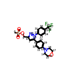 CS(=O)(=O)OCc1cc(-c2ccc(N3CCOCC3)cc2)n(-c2ccc(C(F)(F)F)cc2)n1